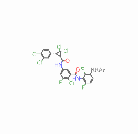 CC(=O)Nc1ccc(F)c(NC(=O)c2cc(NC(=O)C3[C@H](c4ccc(Cl)c(Cl)c4)C3(Cl)Cl)cc(F)c2Cl)c1F